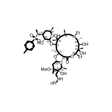 CCCNC[C@]1(O)[C@H](C)O[C@@H](O[C@H]2[C@H](C)[C@@H](O[C@@H]3O[C@H](C)C[C@H](N(C)S(=O)(=O)c4ccc(C)cc4)[C@H]3O)[C@](C)(O)C[C@@H](C)CN(CC)[C@H](C)[C@@H](O)[C@](C)(O)[C@@H](CC)OC(=O)[C@@H]2C)C[C@@]1(C)OC